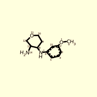 COc1cccc(NC2CCO[CH]C2N)c1